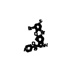 O=S(=O)(c1ccncc1)c1c[nH]c2ccc(Oc3c(Br)cc([S])cc3Br)cc12